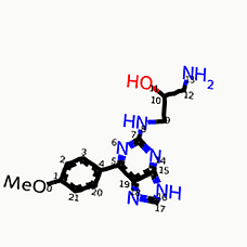 COc1ccc(-c2nc(NCC(O)CN)nc3[nH]cnc23)cc1